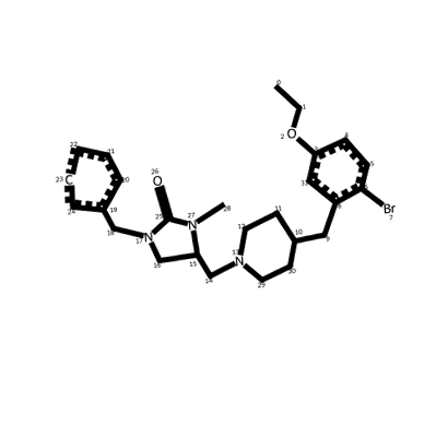 CCOc1ccc(Br)c(CC2CCN(CC3CN(Cc4ccccc4)C(=O)N3C)CC2)c1